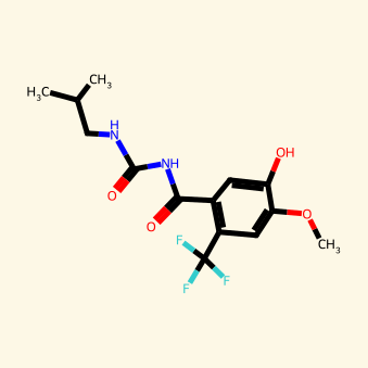 COc1cc(C(F)(F)F)c(C(=O)NC(=O)NCC(C)C)cc1O